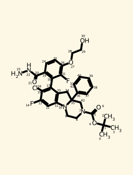 CC(C)(C)OC(=O)N1CCN2c3cc(F)c(Cl)c(-c4c(C(=O)NN)ccc(OCCO)c4F)c3CC2(c2ccccc2)C1